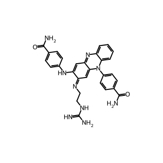 N=C(N)NCCN=c1cc2n(-c3ccc(C(N)=O)cc3)c3ccccc3nc-2cc1Nc1ccc(C(N)=O)cc1